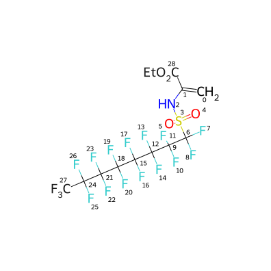 C=C(NS(=O)(=O)C(F)(F)C(F)(F)C(F)(F)C(F)(F)C(F)(F)C(F)(F)C(F)(F)C(F)(F)F)C(=O)OCC